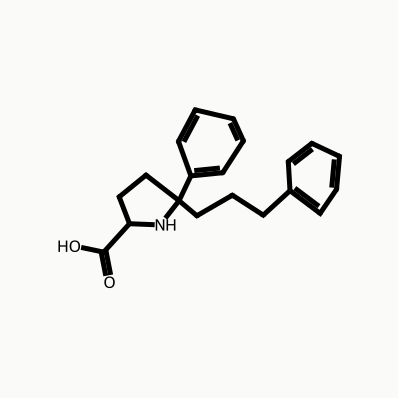 O=C(O)C1CCC(CCCc2ccccc2)(c2ccccc2)N1